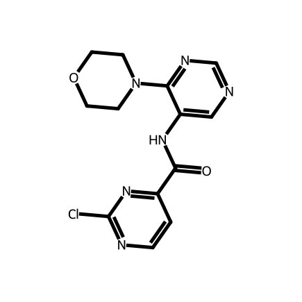 O=C(Nc1cncnc1N1CCOCC1)c1ccnc(Cl)n1